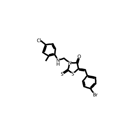 Cc1cc(Cl)ccc1NCN1C(=O)C(=Cc2ccc(Br)cc2)SC1=S